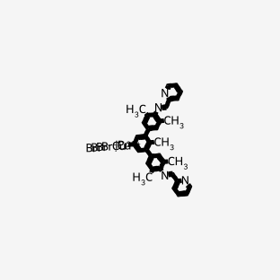 Cc1cc(-c2cc(C(C)C)cc(-c3cc(C)c(N=Cc4ccccn4)c(C)c3)c2C)cc(C)c1N=Cc1ccccn1.[Br-].[Br-].[Br-].[Br-].[Cu+2].[Cu+2]